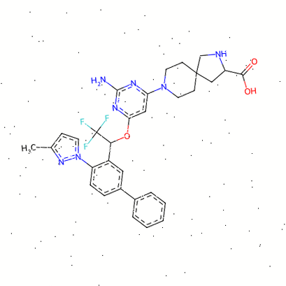 Cc1ccn(-c2ccc(-c3ccccc3)cc2C(Oc2cc(N3CCC4(CC3)CNC(C(=O)O)C4)nc(N)n2)C(F)(F)F)n1